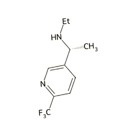 CCN[C@H](C)c1ccc(C(F)(F)F)nc1